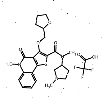 CN1CCC(N(C)C(=O)c2sc3c(c2OCC2CCCO2)c(=O)n(C)c2ccccc32)C1.O=C(O)C(F)(F)F